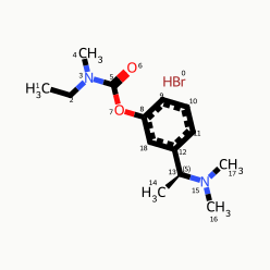 Br.CCN(C)C(=O)Oc1cccc([C@H](C)N(C)C)c1